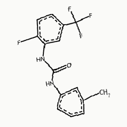 Cc1cccc(NC(=O)Nc2cc(C(F)(F)F)ccc2F)c1